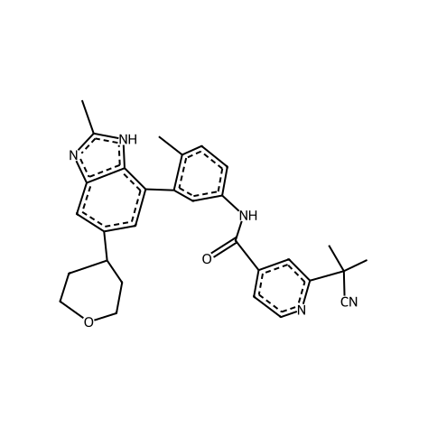 Cc1nc2cc(C3CCOCC3)cc(-c3cc(NC(=O)c4ccnc(C(C)(C)C#N)c4)ccc3C)c2[nH]1